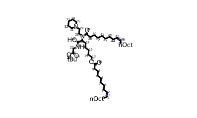 CCCCCCCC/C=C\CCCCCCCC(=O)OCCCCCC(C(O)NCC(=O)OC(C)(C)C)N(CCN1CCCCC1)C(=O)CCCCCCC/C=C\CCCCCCCC